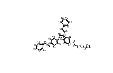 CCOC(=O)CCc1ccc2c(c1)c(C=Cc1ccccc1)cn2-c1ccc(SCc2ccccc2)cc1